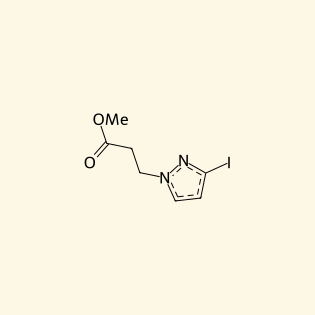 COC(=O)CCn1ccc(I)n1